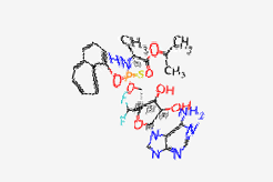 CC(C)OC(=O)[C@H](C)NP(=S)(OC[C@@]1(C(F)F)O[C@@H](n2cnc3ncnc(N)c32)[C@H](O)[C@@H]1O)Oc1cccc2ccccc12